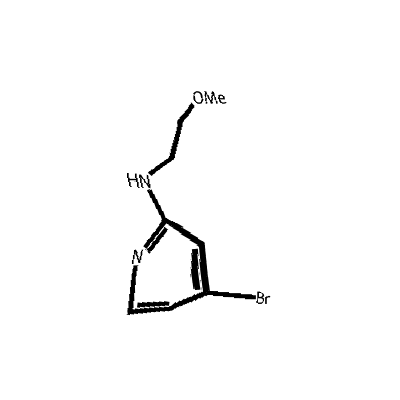 COCCNc1cc(Br)ccn1